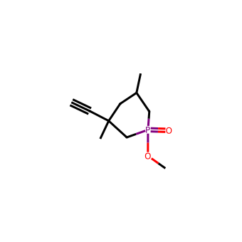 C#CC1(C)CC(C)CP(=O)(OC)C1